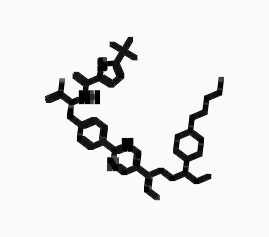 C=C(N[C@@H](Cc1ccc(-c2ncc(/C(=C/C)CCC(CC)C3CCC(CCCCC)CC3)cn2)cc1)C(=C)C)c1ccc(C(C)(C)C)s1